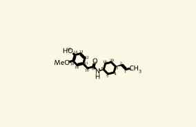 C/C=C/[C@H]1CC[C@@H](NC(=O)Cc2ccc(O)c(OC)c2)CC1